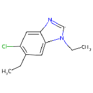 CCc1cc2c(cc1Cl)n[c]n2CC